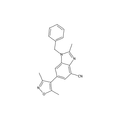 Cc1noc(C)c1-c1cc(C#N)c2nc(C)n(Cc3ccccc3)c2c1